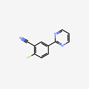 N#Cc1cc(-c2ncccn2)ccc1F